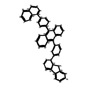 C1=CC(c2cccc(-c3c4ccccc4c(-c4ccc(-c5cccc6ccccc56)cc4)c4ccccc34)c2)C2Sc3ccccc3C2=C1